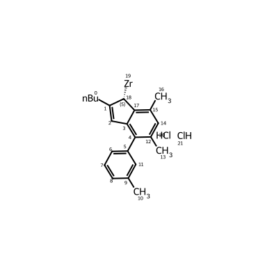 CCCCC1=Cc2c(-c3cccc(C)c3)c(C)cc(C)c2[C@H]1[Zr].Cl.Cl